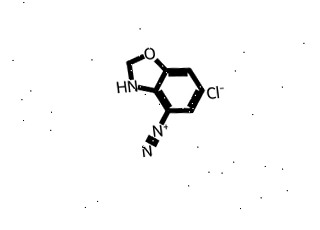 N#[N+]c1cccc2c1NCO2.[Cl-]